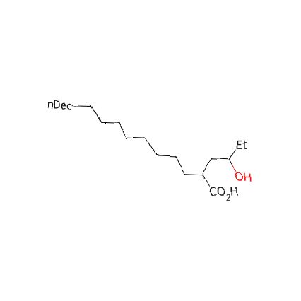 CCCCCCCCCCCCCCCCCCC(CC(O)CC)C(=O)O